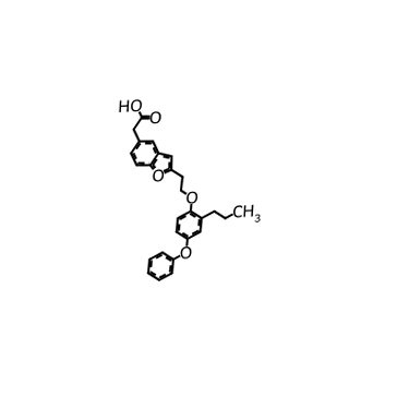 CCCc1cc(Oc2ccccc2)ccc1OCCc1cc2cc(CC(=O)O)ccc2o1